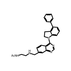 CC(=O)NCCNCc1ccc2c(N3CCc4c(-c5ccccc5)cccc43)ncnc2c1